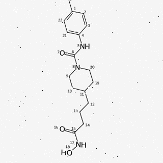 Cc1ccc(NC(=O)N2CCC(CCCC(=O)NO)CC2)cc1